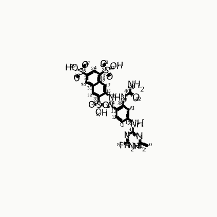 C=C(N)/N=C(\N=C(/N)F)Nc1ccc(/N=N/c2cc3c(S(=O)(=O)O)cc(S(=O)(=O)O)cc3cc2S(=O)(=O)O)c(NC(N)=O)c1